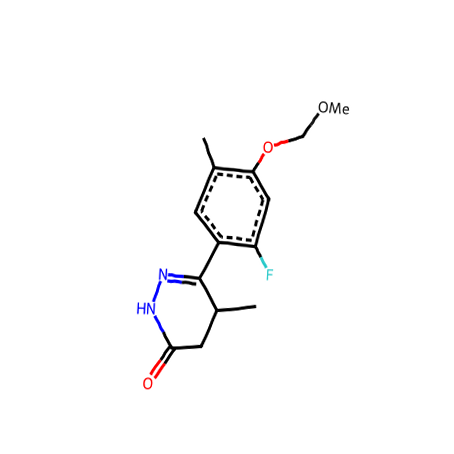 COCOc1cc(F)c(C2=NNC(=O)CC2C)cc1C